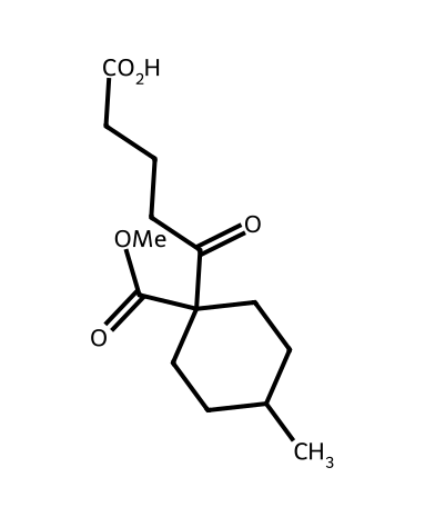 COC(=O)C1(C(=O)CCCC(=O)O)CCC(C)CC1